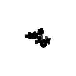 O=C(Nc1cc2c[nH]nc2cc1-n1cccn1)c1cccc(C(F)(F)F)n1